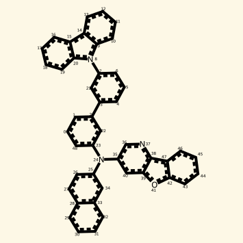 c1cc(-c2cccc(-n3c4ccccc4c4ccccc43)c2)cc(N(c2ccc3ccccc3c2)c2cnc3c(c2)oc2ccccc23)c1